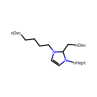 CCCCCCCCCCCCCCN1C=CN(CCCCCCC)C1CCCCCCCCCCC